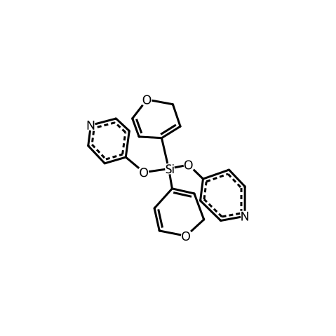 C1=CC([Si](Oc2ccncc2)(Oc2ccncc2)C2=CCOC=C2)=CCO1